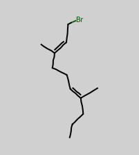 CCCC(C)=CCCC(C)=CCBr